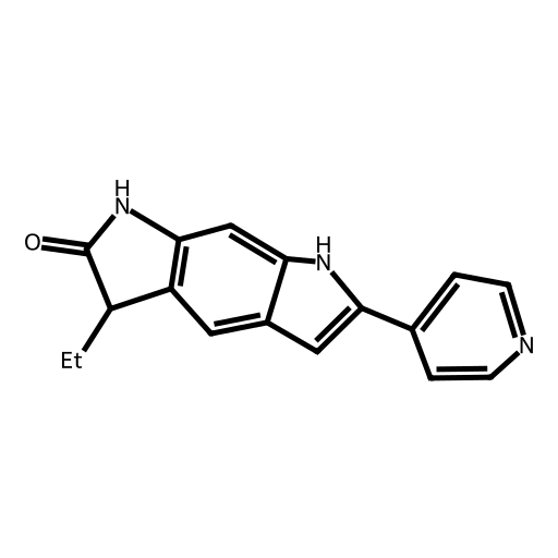 CCC1C(=O)Nc2cc3[nH]c(-c4ccncc4)cc3cc21